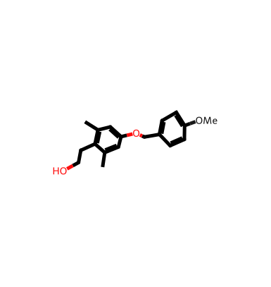 COc1ccc(COc2cc(C)c(CCO)c(C)c2)cc1